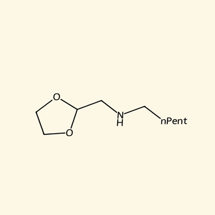 CCCCCCNCC1OCCO1